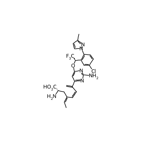 C=C(/C=C\C(=C/C)C[C@H](N)C(=O)O)c1cc(O[C@H](c2cc(Cl)ccc2-n2ccc(C)n2)C(F)(F)F)nc(N)n1